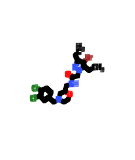 CCc1nn(CC(=O)NCC2CN(Cc3ccc(Cl)c(Cl)c3)CCO2)c(CC)c1Br